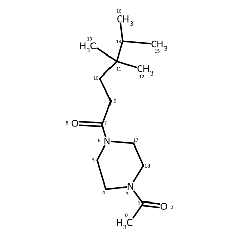 CC(=O)N1CCN(C(=O)CCC(C)(C)C(C)C)CC1